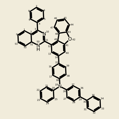 C1=CC2=C(c3ccccc3)N=C(c3cc(-c4ccc(N(c5ccccc5)c5ccc(-c6ccccc6)cc5)cc4)cc4oc5ccccc5c34)NC2C=C1